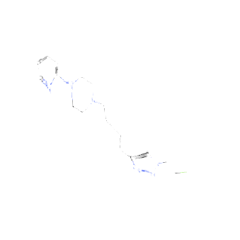 FCCn1cc(CCCCN2CCN(c3ccccn3)CC2)nn1